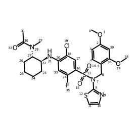 COc1ccc(CN(c2nccs2)S(=O)(=O)c2cc(Cl)c(N[C@H]3CCCC[C@@H]3N(C)C(C)=O)cc2F)c(OC)c1